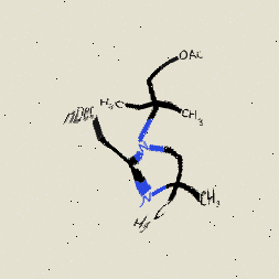 CCCCCCCCCCCC1=NC(C)(C)CN1C(C)(C)COC(C)=O